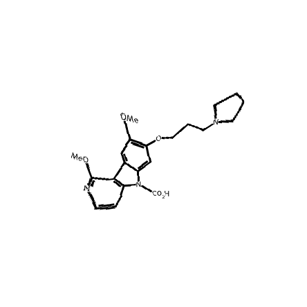 COc1cc2c3c(OC)nccc3n(C(=O)O)c2cc1OCCCN1CCCC1